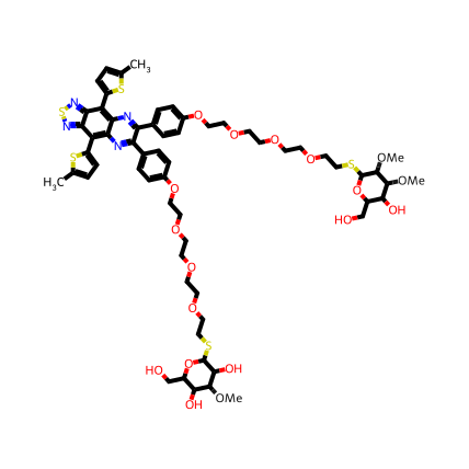 COC1C(O)C(CO)OC(SCCOCCOCCOCCOc2ccc(-c3nc4c(-c5ccc(C)s5)c5nsnc5c(-c5ccc(C)s5)c4nc3-c3ccc(OCCOCCOCCOCCSC4OC(CO)C(O)C(OC)C4OC)cc3)cc2)C1O